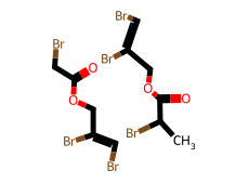 CC(Br)C(=O)OCC(Br)=CBr.O=C(CBr)OCC(Br)=CBr